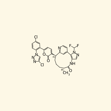 C[C@@H]1CCC[C@@H](c2ccc(-c3cc(Cl)ccc3-n3cc(Cl)nn3)oc2=O)c2cc(ccn2)-c2c(cnn2C(F)F)NC1=O